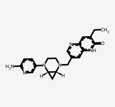 CCc1cc2ncc(CN3CCN(c4ccc(N)nc4)[C@H]4C[C@H]43)cc2[nH]c1=O